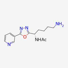 CC(=O)N[C@@H](CCCCN)c1nnc(-c2cccnc2)o1